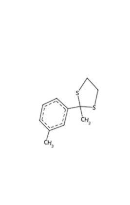 Cc1cccc(C2(C)SCCS2)c1